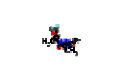 Cc1cc(C(=O)NCc2ccc(OCC(F)F)cc2C)cc(NC(=O)C(C)C)n1